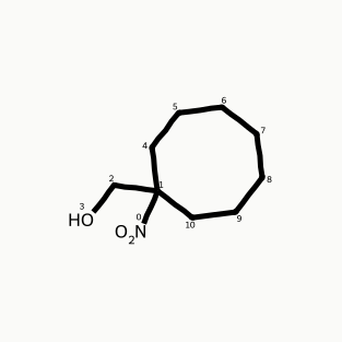 O=[N+]([O-])C1(CO)CCCCCCC1